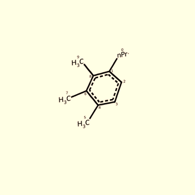 CC[CH]c1ccc(C)c(C)c1C